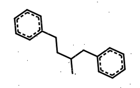 [CH2]C(CCc1ccccc1)Cc1ccccc1